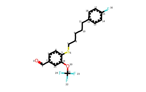 O=Cc1ccc(SCCCCCc2ccc(F)cc2)c(OC(F)(F)F)c1